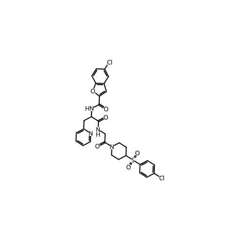 O=C(NC(Cc1ccccn1)C(=O)NCC(=O)N1CCC(S(=O)(=O)c2ccc(Cl)cc2)CC1)c1cc2cc(Cl)ccc2o1